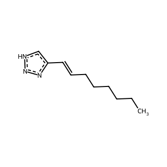 CCCCCCC=Cc1c[nH]nn1